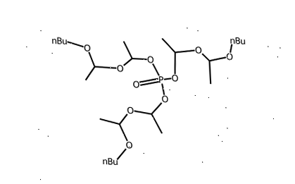 CCCCOC(C)OC(C)OP(=O)(OC(C)OC(C)OCCCC)OC(C)OC(C)OCCCC